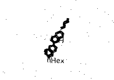 C/C=C/CC[C@@H]1CC[C@@H]2CC(C3CCc4cc(CCCCCC)ccc4C3)CCC2C1